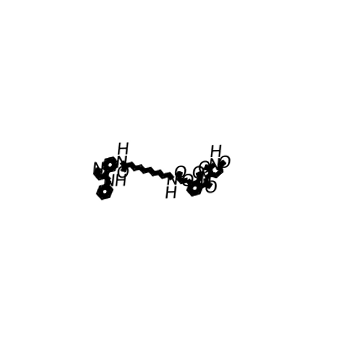 O=C(COc1cccc2c1C(=O)N(C1CCC(=O)NC1=O)C2=O)NCCCCCCCCCC(=O)Nc1ccc2nccc(Nc3ccccc3)c2c1